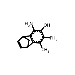 Cc1c(P)c(O)c(N)c2c1C1C=CC2C1